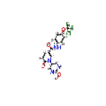 COc1ncc(-n2cc(C(=O)Nc3ccc(OC(F)(F)Cl)cc3)ccc2=O)cn1